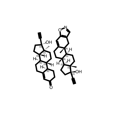 C#C[C@]1(O)CC[C@H]2[C@@H]3CCC4=CC(=O)CC[C@@H]4[C@H]3CC[C@@]21C.C#C[C@]1(O)CC[C@H]2[C@@H]3CCC4=Cc5oncc5C[C@]4(C)[C@H]3CC[C@@]21C